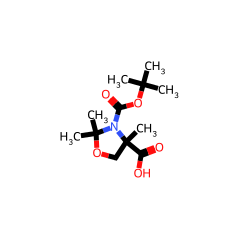 CC(C)(C)OC(=O)N1C(C)(C)OCC1(C)C(=O)O